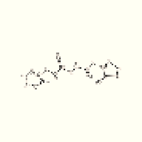 O=C(CN1CCCC1=O)NCC(=O)OCc1ccccc1